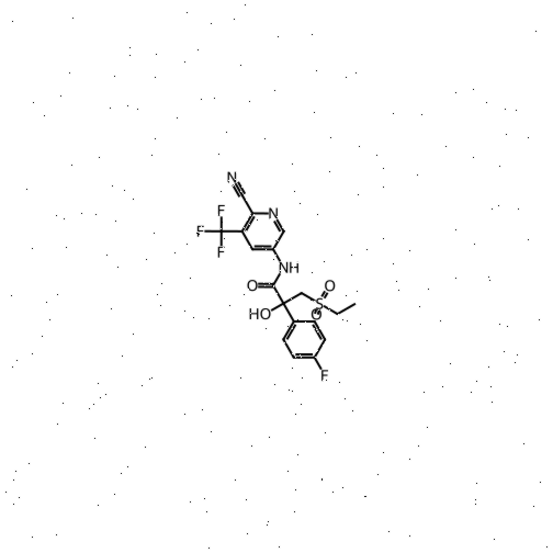 CCS(=O)(=O)CC(O)(C(=O)Nc1cnc(C#N)c(C(F)(F)F)c1)c1ccc(F)cc1